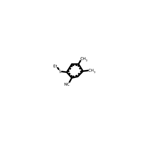 CCSc1cc(C)c(C)cc1C#N